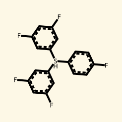 Fc1ccc([SH](c2cc(F)cc(F)c2)c2cc(F)cc(F)c2)cc1